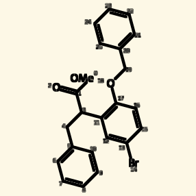 COC(=O)C(Cc1ccccc1)c1cc(Br)ccc1OCc1ccccc1